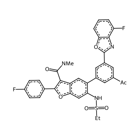 CCS(=O)(=O)Nc1cc2oc(-c3ccc(F)cc3)c(C(=O)NC)c2cc1-c1cc(C(C)=O)cc(-c2nc3c(F)cccc3o2)c1